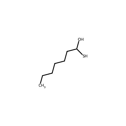 CCCCCCC(O)S